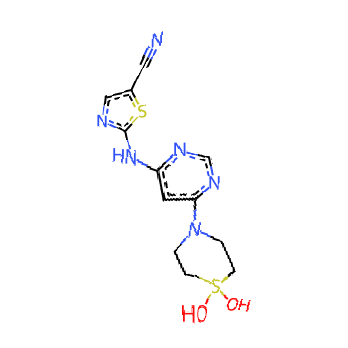 N#Cc1cnc(Nc2cc(N3CCS(O)(O)CC3)ncn2)s1